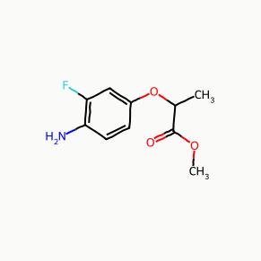 COC(=O)C(C)Oc1ccc(N)c(F)c1